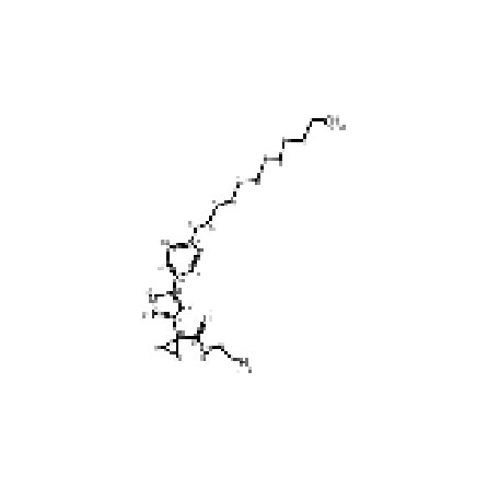 CCCCCCCCCCCCc1ccc(-c2nc(C3(C(=O)OCC)CC3)no2)cc1